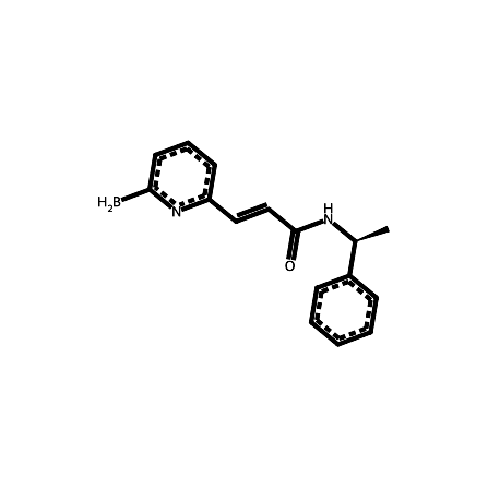 Bc1cccc(/C=C/C(=O)N[C@@H](C)c2ccccc2)n1